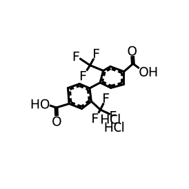 Cl.Cl.O=C(O)c1ccc(-c2ccc(C(=O)O)cc2C(F)(F)F)c(C(F)(F)F)c1